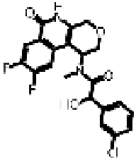 CN(C(=O)C(O)c1cccc(Cl)c1)C1COCc2[nH]c(=O)c3cc(F)c(F)cc3c21